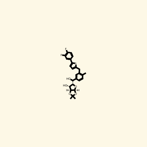 Cc1ccc(C(O)[C@@H]2O[C@H]3OC(C)(C)O[C@H]3[C@@H]2O)cc1Cc1ccc(-c2ccc(F)c(F)c2)s1